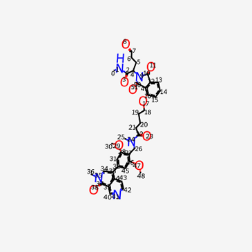 CNC(=O)C(CCC=O)N1C(=O)c2cccc(OCCCCC(=O)N(C)Cc3c(OC)cc(-c4cn(C)c(=O)c5cnccc45)cc3OC)c2C1=O